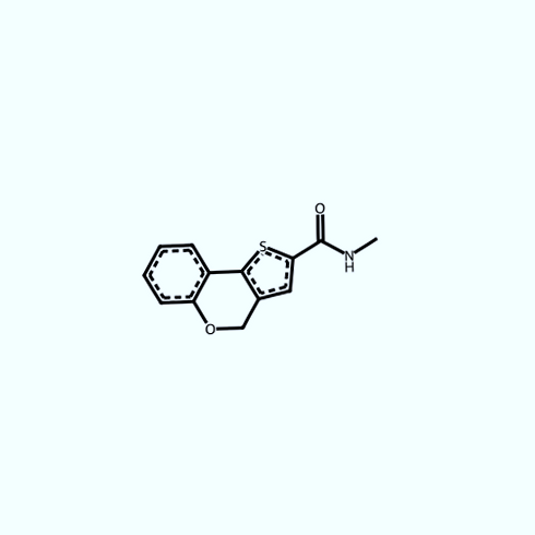 CNC(=O)c1cc2c(s1)-c1ccccc1OC2